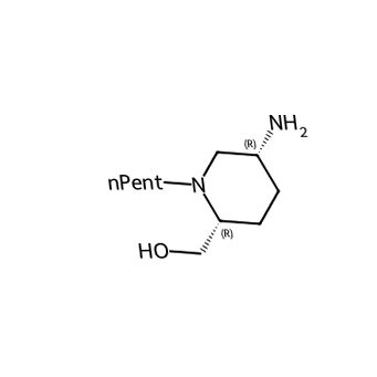 CCCCCN1C[C@H](N)CC[C@@H]1CO